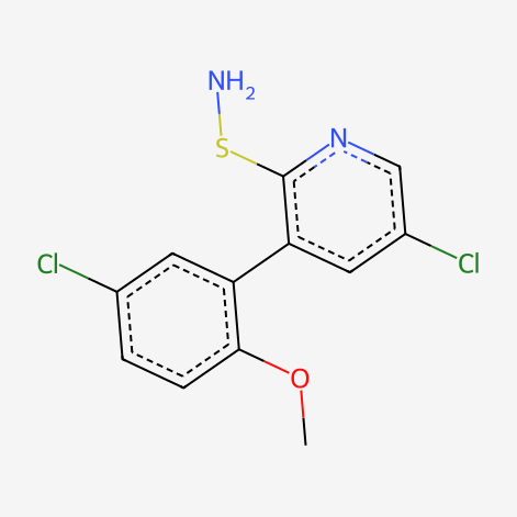 COc1ccc(Cl)cc1-c1cc(Cl)cnc1SN